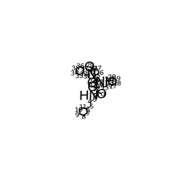 O=C(NCCCc1ccccc1)C(=O)C(Cc1ccccc1)NC(=O)C1CCC(=O)N1Cc1ccccc1